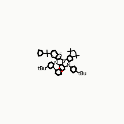 Cc1cc2c3c(c1)N(c1ccc(C(C)(C)C)cc1-c1ccccc1)c1c(sc4ccc(C(C)(C)c5ccccc5)cc14)B3c1cc3c(cc1N2c1ccc(C(C)(C)C)cc1)C(C)(C)CCC3(C)C